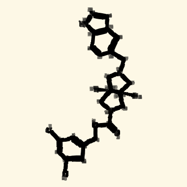 O=C(OCc1cc(Cl)cc(Cl)c1)N1C[C@H]2CN(Cc3ccc4[nH]ncc4c3)C[C@H]2C1